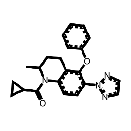 CC1CCc2c(ccc(-n3nccn3)c2Oc2ccccc2)N1C(=O)C1CC1